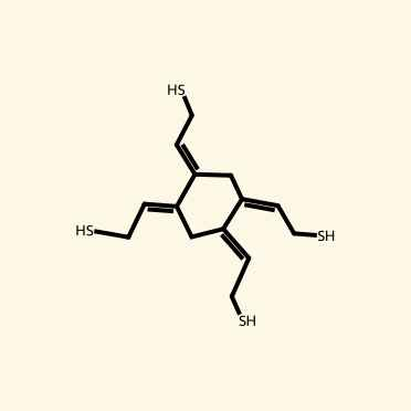 SCC=C1CC(=CCS)C(=CCS)CC1=CCS